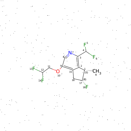 C[C@H]1c2c(C(F)F)ncc(OCC(F)F)c2C[C@H]1F